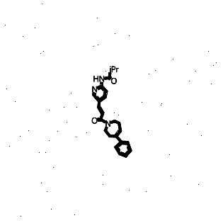 CC(C)C(=O)Nc1ccc(/C=C/C(=O)N2CCC=C(c3ccccc3)CC2)cn1